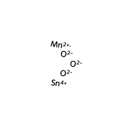 [Mn+2].[O-2].[O-2].[O-2].[Sn+4]